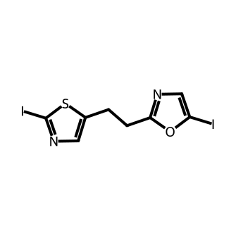 Ic1cnc(CCc2cnc(I)s2)o1